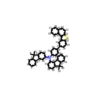 CC1(C)c2ccccc2-c2cc(N(c3ccc(-c4ccc5sc6ccc7ccccc7c6c5c4)cc3)c3cccc4c3-c3ccccc3C4(C)C)ccc21